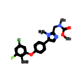 Cn1c(-c2ccc(Oc3cc(Cl)cc(F)c3C=O)cc2)cnc1CN(C(=O)OC(C)(C)C)C(C)(C)C